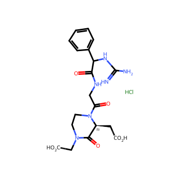 Cl.N=C(N)NC(C(=O)NCC(=O)N1CCN(CC(=O)O)C(=O)[C@@H]1CC(=O)O)c1ccccc1